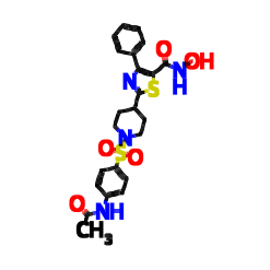 CC(=O)Nc1ccc(S(=O)(=O)N2CCC(c3nc(-c4ccccc4)c(C(=O)NO)s3)CC2)cc1